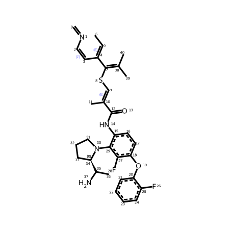 C=N/C=C\C(=C/C)C(S/C=C(\C)C(=O)Nc1ccc(Oc2ccccc2F)c(F)c1N1CCC[C@@H]1C(C)N)=C(C)C